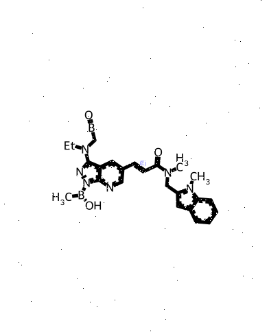 CCN(CB=O)c1nn(B(C)O)c2ncc(/C=C/C(=O)N(C)Cc3cc4ccccc4n3C)cc12